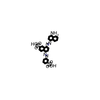 Nc1ccc(/N=N/c2ccc(/N=N/c3cccc(S(=O)(=O)O)c3)c3ccc(S(=O)(=O)O)cc23)c2ccccc12